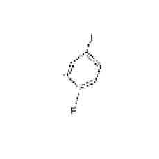 Fc1[c]cc(I)cc1